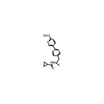 COc1ccc(-c2ccc(CC(C)NC(=O)C3CC3)cc2)cn1